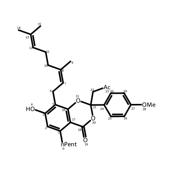 CCCCCc1cc(O)c(CC=C(C)CCC=C(C)C)c2c1C(=O)OC(CC(C)=O)(c1ccc(OC)cc1)O2